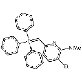 CCc1ccc(C=P(c2ccccc2)(c2ccccc2)c2ccccc2)nc1NC